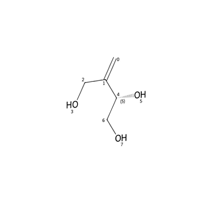 C=C(CO)[C@H](O)CO